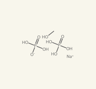 CO.O=P(O)(O)O.O=P([O-])(O)O.[Na+]